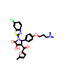 Cc1ccc(C(=O)C2=C(O)C(=O)N(c3nc4ccc(Cl)cc4s3)C2c2ccc(OCCCN(C)C)cc2)o1